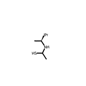 CC(S)N[C@@H](C)C(C)C